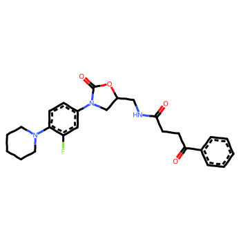 O=C(CCC(=O)c1ccccc1)NCC1CN(c2ccc(N3CCCCC3)c(F)c2)C(=O)O1